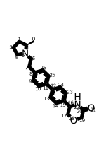 C[C@@H]1CCCN1CCc1ccc(-c2ccc(C3COCC(=O)N3)cc2)cc1